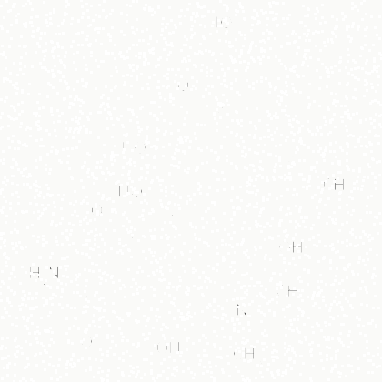 C=C1c2cccc(O)c2C(=O)C2=C(O)C3(O)C(=O)C(C(N)=O)=C(O)C(N(C)C)C3C(O)C12